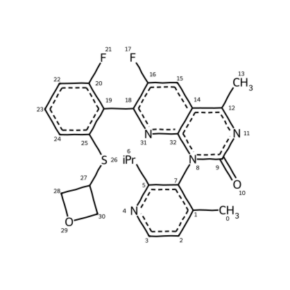 Cc1ccnc(C(C)C)c1-n1c(=O)nc(C)c2cc(F)c(-c3c(F)cccc3SC3COC3)nc21